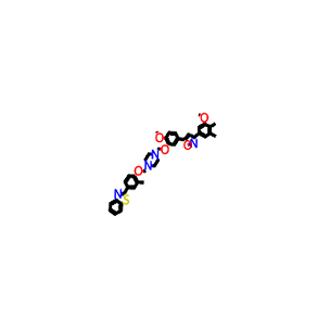 COc1ccc(-c2cc(-c3cc(C)c(C)c(OC)c3)no2)cc1OCN1CCN(COc2ccc(-c3nc4ccccc4s3)cc2C)CC1